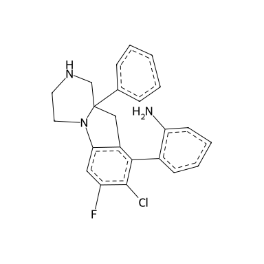 Nc1ccccc1-c1c(Cl)c(F)cc2c1CC1(c3ccccc3)CNCCN21